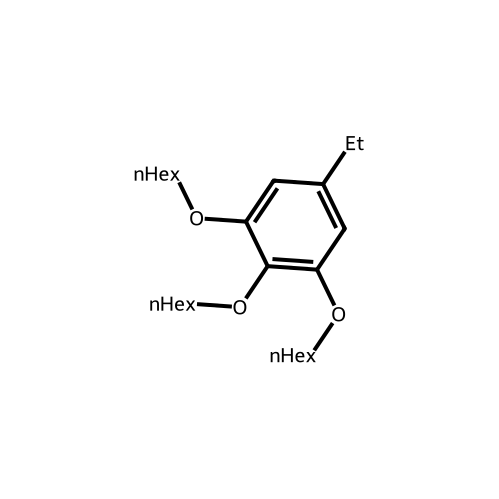 [CH2]Cc1cc(OCCCCCC)c(OCCCCCC)c(OCCCCCC)c1